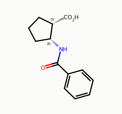 O=C(N[C@@H]1CCC[C@@H]1C(=O)O)c1ccccc1